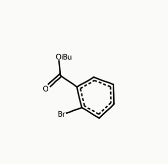 CC(C)COC(=O)c1ccccc1Br